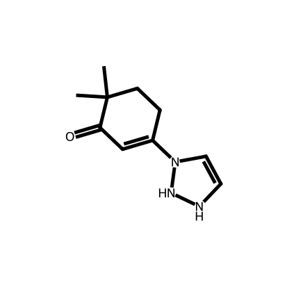 CC1(C)CCC(N2C=CNN2)=CC1=O